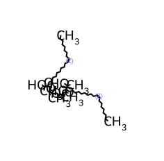 CCCCCCCC/C=C\CCCCCCCCOC(OCC(C)OCC(C)OC(OCCCCCCCC/C=C\CCCCCCCC)C(C)O)C(C)O